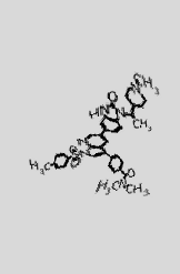 Cc1ccc(S(=O)(=O)n2cc(-c3ccc(C(=O)N(C)C)cc3)c3cc(-c4ccc5c(c4)[nH]c(=O)n5C(C)C4CCN(C)CC4)cnc32)cc1